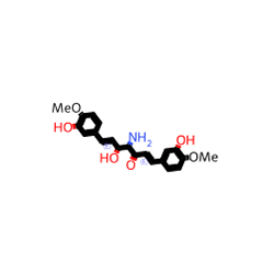 COc1ccc(/C=C/C(=O)C(N)C(O)/C=C/c2ccc(OC)c(O)c2)cc1O